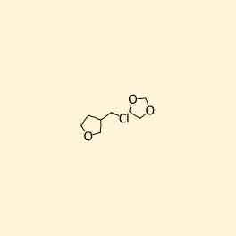 C1COCO1.ClCC1CCOC1